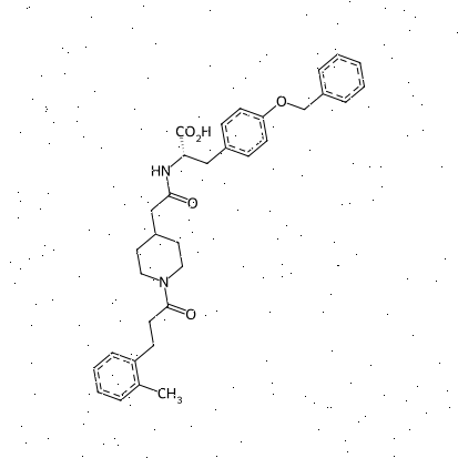 Cc1ccccc1CCC(=O)N1CCC(CC(=O)N[C@@H](Cc2ccc(OCc3ccccc3)cc2)C(=O)O)CC1